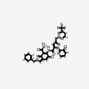 NC(=O)c1c(NC(=O)c2cc(CN3N=CCC(C(F)(F)F)=N3)nn2-c2ncccc2Cl)c(Cl)cc2cn(Cc3ccccc3)nc12